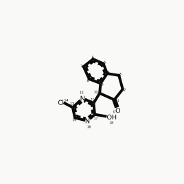 O=C1CCc2ccccc2C1c1nc(Cl)cnc1O